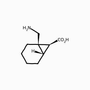 NC[C@]12CCCC[C@H]1[C@@H]2C(=O)O